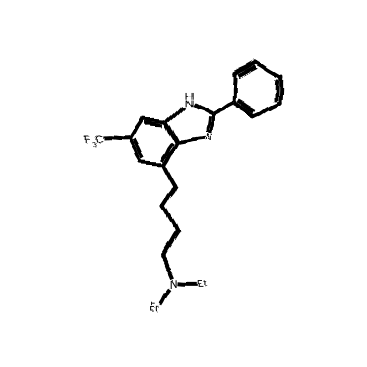 CCN(CC)CCCCc1cc(C(F)(F)F)cc2[nH]c(-c3ccccc3)nc12